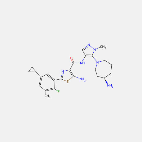 Cc1cc(C2CC2)cc(-c2nc(C(=O)Nc3cnn(C)c3N3CCC[C@@H](N)CC3)c(N)s2)c1F